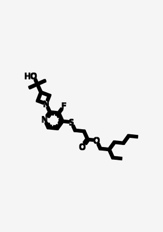 CCCCC(CC)COC(=O)CCSc1ccnc(N2CC(C(C)(C)O)C2)c1F